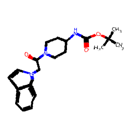 CC(C)(C)OC(=O)NC1CCN(C(=O)Cn2ccc3ccccc32)CC1